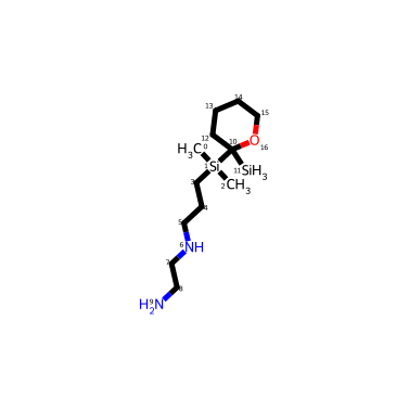 C[Si](C)(CCCNCCN)C1([SiH3])CCCCO1